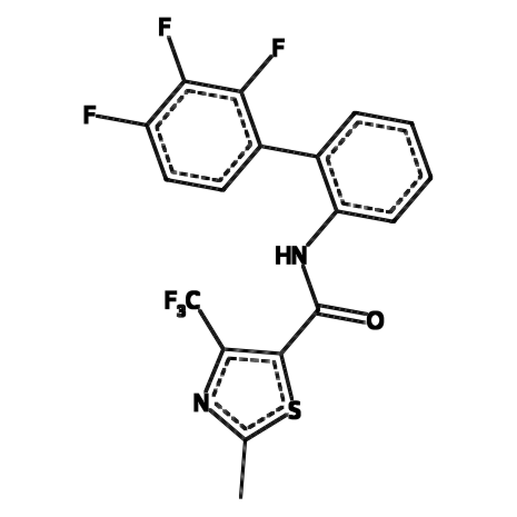 Cc1nc(C(F)(F)F)c(C(=O)Nc2ccccc2-c2ccc(F)c(F)c2F)s1